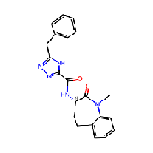 CN1C(=O)[C@@H](NC(=O)c2nnc(Cc3ccccc3)[nH]2)CCc2ccccc21